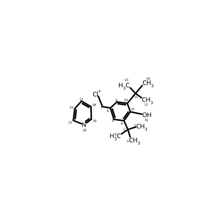 CC(C)(C)c1cc(CCl)cc(C(C)(C)C)c1O.c1ccncc1